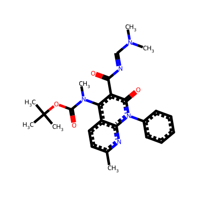 Cc1ccc2c(N(C)C(=O)OC(C)(C)C)c(C(=O)N=CN(C)C)c(=O)n(-c3ccccc3)c2n1